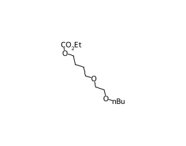 CCCCOCCOCCCCOC(=O)OCC